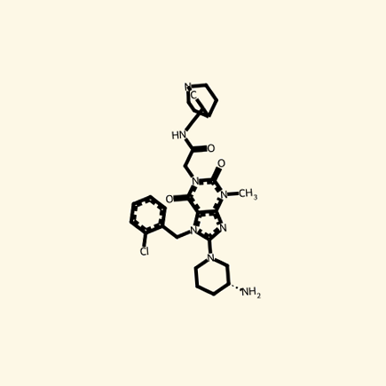 Cn1c(=O)n(CC(=O)NC2CN3CCC2CC3)c(=O)c2c1nc(N1CCC[C@@H](N)C1)n2Cc1ccccc1Cl